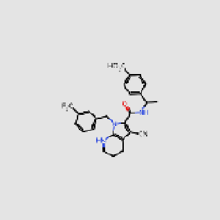 CC(NC(=O)c1c(C#N)c2c(n1Cc1cccc(C(F)(F)F)c1)NCCC2)c1ccc(C(=O)O)cc1